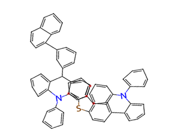 c1ccc(N(c2ccccc2)c2ccccc2-c2ccc3sc4cc(C(c5cccc(-c6cccc7ccccc67)c5)c5ccccc5N(c5ccccc5)c5ccccc5)ccc4c3c2)cc1